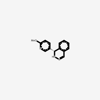 COc1ccc([C@H]2NN=Cc3ccccc32)cn1